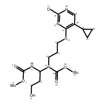 CC(C)(C)OC(=O)NC(CCO)N(CCCOc1nc(Cl)ncc1C1CC1)C(=O)OC(C)(C)C